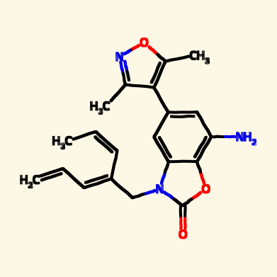 C=C/C=C(\C=C/C)Cn1c(=O)oc2c(N)cc(-c3c(C)noc3C)cc21